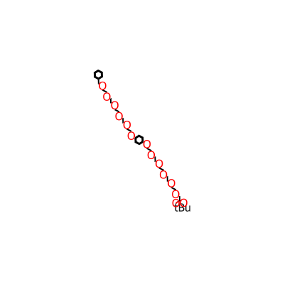 CC(C)(C)OC(=O)COCCOCCOCCOCCOCCOc1ccc(OCCOCCOCCOCCOCCOCc2ccccc2)cc1